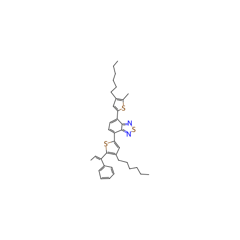 CC=C(c1ccccc1)c1sc(-c2ccc(-c3cc(CCCCCC)c(C)s3)c3nsnc23)cc1CCCCCC